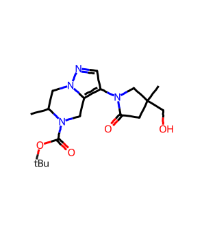 CC1Cn2ncc(N3CC(C)(CO)CC3=O)c2CN1C(=O)OC(C)(C)C